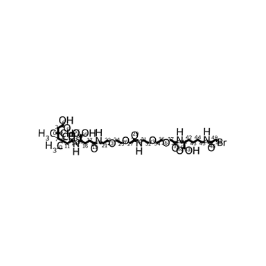 CC(C)(CC(=O)O)CC(C)(C)CC(=O)NC(CCC(=O)NCCOCCOCC(=O)NCCOCCOCC(=O)NC(CCCCNC(=O)CBr)C(=O)O)C(=O)O